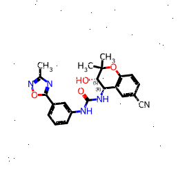 Cc1noc(-c2cccc(NC(=O)N[C@@H]3c4cc(C#N)ccc4OC(C)(C)[C@H]3O)c2)n1